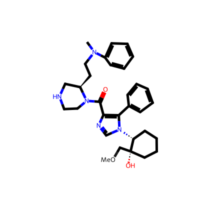 COC[C@]1(O)CCCC[C@H]1n1cnc(C(=O)N2CCNC[C@H]2CCN(C)c2ccccc2)c1-c1ccccc1